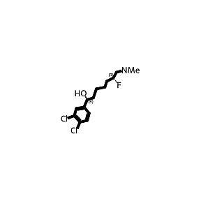 CNC[C@H](F)CCCC[C@@H](O)c1ccc(Cl)c(Cl)c1